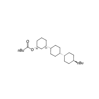 CCCCC(=O)O[C@@H]1CCC[C@H](C2CCC([C@H]3CC[C@H](CCCC)CC3)CC2)C1